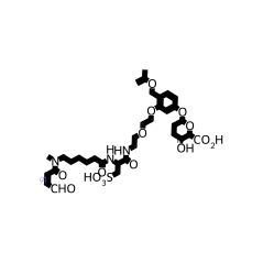 C=C(C)OCc1ccc(OC2CC[C@H](O)C(C(=O)O)O2)cc1OCCOCCNC(=O)C(CS(=O)(=O)O)NC(=O)CCCCCN(C)C(=O)/C=C\C=O